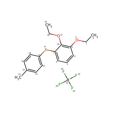 CCOc1cccc(Sc2ccc(C)cc2)c1OCC.F[B-](F)(F)F